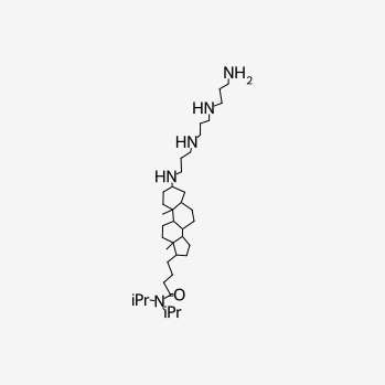 CC(C)N(C(=O)CCCC1CCC2C3CCC4CC(NCCCNCCCNCCCN)CCC4(C)C3CCC12C)C(C)C